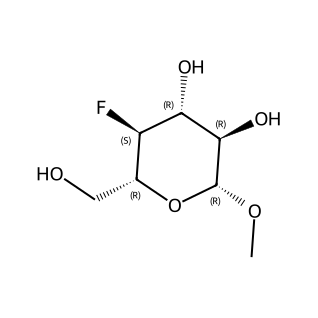 CO[C@@H]1O[C@H](CO)[C@@H](F)[C@H](O)[C@H]1O